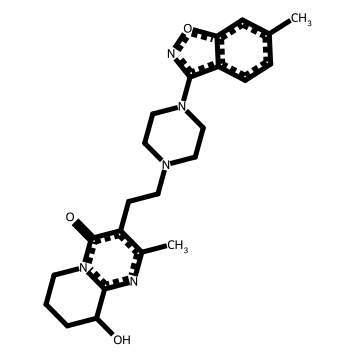 Cc1ccc2c(N3CCN(CCc4c(C)nc5n(c4=O)CCCC5O)CC3)noc2c1